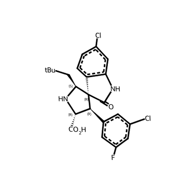 CC(C)(C)C[C@@H]1N[C@@H](C(=O)O)[C@H](c2cc(F)cc(Cl)c2)[C@]12C(=O)Nc1cc(Cl)ccc12